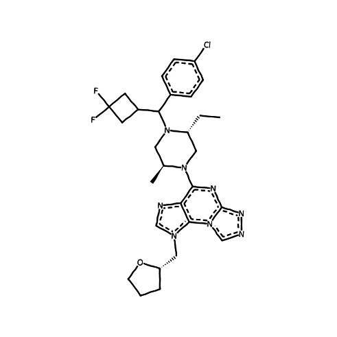 CC[C@@H]1CN(c2nc3nncn3c3c2ncn3C[C@@H]2CCCO2)[C@@H](C)CN1C(c1ccc(Cl)cc1)C1CC(F)(F)C1